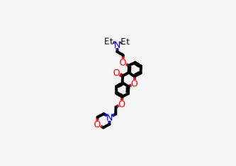 CCN(CC)CCOc1cccc2oc3cc(OCCN4CCOCC4)ccc3c(=O)c12